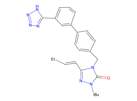 CCC=Cc1nn(C(C)CC)c(=O)n1Cc1ccc(-c2cccc(-c3nnn[nH]3)c2)cc1